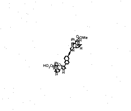 COC(=O)N[C@H](C(=O)N1[C@@H]2C[C@H]2C[C@H]1c1nc(C#Cc2ccc3cc(-c4c[nH]c([C@@H]5C[C@H]6C[C@H]6N5C(=O)[C@@H](NC(=O)O)C(C)C)n4)ccc3c2)c[nH]1)C(C)C